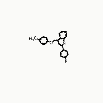 Cc1ccc(OCc2cc(-c3ccc(F)cc3)nc3ccccc23)cc1